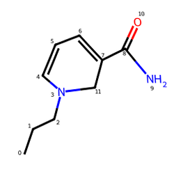 CCCN1C=CC=C(C(N)=O)C1